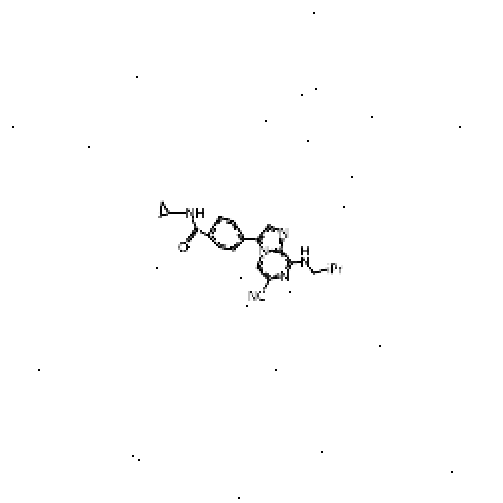 CC(C)CNc1nc(C#N)cn2c(-c3ccc(C(=O)NC4CC4)cc3)cnc12